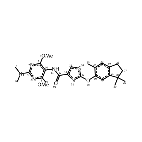 COc1nc(N(C)C)nc(OC)c1NC(=O)c1csc(Oc2cc3c(cc2C)CCC3(C)C)n1